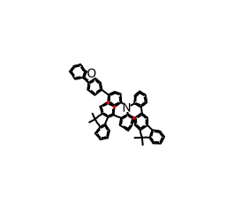 CC1(C)c2ccccc2-c2cc(-c3ccccc3N(c3ccc(-c4ccc5c(c4)oc4ccccc45)cc3)c3ccccc3-c3cccc4c3-c3ccccc3C4(C)C)ccc21